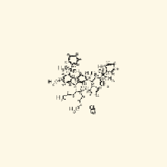 CCCC[C](CCCC)=[Zr+2]([C]1=CC=CC1)[c]1c(CC(C)C(C)C(C)(C)c2ccccc2)ccc2c1Cc1cc(C)cc(C(C)(C)c3ccccc3)c1-2.[Cl-].[Cl-]